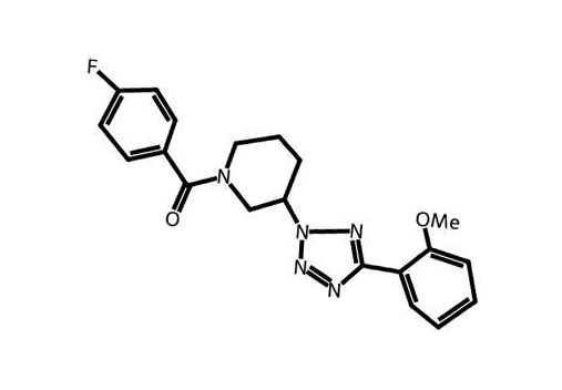 COc1ccccc1-c1nnn(C2CCCN(C(=O)c3ccc(F)cc3)C2)n1